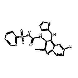 Cc1nc2ccc(Br)cc2c(Nc2cccs2)c1NC(=O)NS(=O)(=O)c1ccncn1